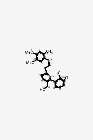 COc1cc(C)c(/N=C\Cc2ccc(CO)c(-c3cccc(Cl)c3F)n2)cc1OC